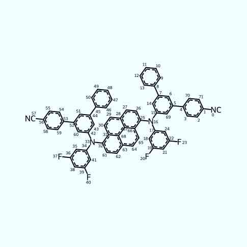 [C-]#[N+]c1ccc(-c2cc(-c3ccccc3)cc(N(c3cc(F)cc(F)c3)c3ccc4ccc5c(N(c6cc(F)cc(F)c6)c6cc(-c7ccccc7)cc(-c7ccc(C#N)cc7)c6)ccc6ccc3c4c65)c2)cc1